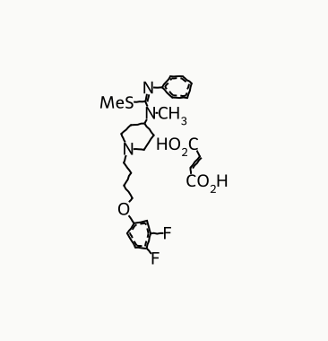 CSC(=Nc1ccccc1)N(C)C1CCN(CCCCOc2ccc(F)c(F)c2)CC1.O=C(O)C=CC(=O)O